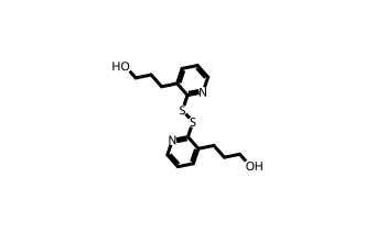 OCCCc1cccnc1SSc1ncccc1CCCO